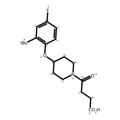 CC(C)(C)c1cc(F)ccc1OC1CCN(C(=O)CCC(=O)O)CC1